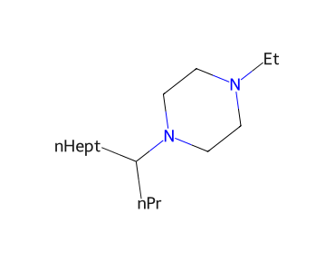 CCCCCCCC(CCC)N1CCN(CC)CC1